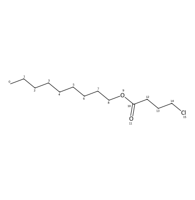 CCCCCCCCCOC(=O)CCCCl